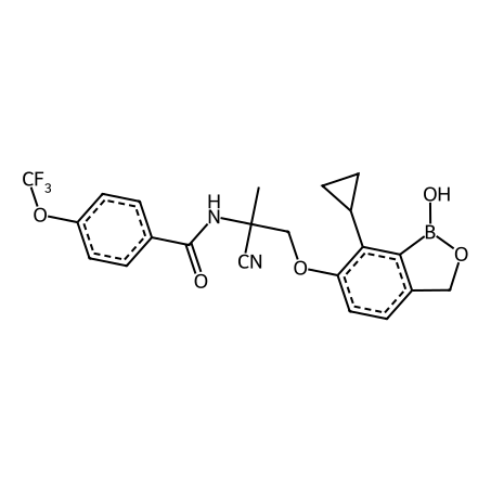 CC(C#N)(COc1ccc2c(c1C1CC1)B(O)OC2)NC(=O)c1ccc(OC(F)(F)F)cc1